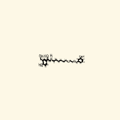 OCc1cc([C@@H](O)CNCCCCCCOCCOCc2cccc(O)c2)ccc1O